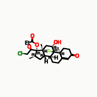 CCC(=O)O[C@@]1(C(=O)CCl)[C@@H](C)C[C@H]2[C@@H]3CCC4=CC(=O)CC[C@]4(C)[C@@]3(F)[C@@H](O)C[C@@]21C